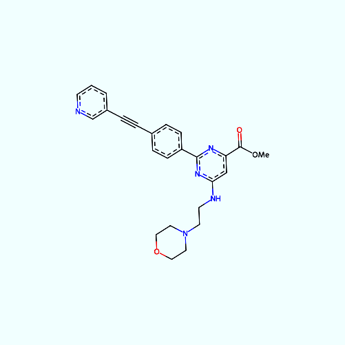 COC(=O)c1cc(NCCN2CCOCC2)nc(-c2ccc(C#Cc3cccnc3)cc2)n1